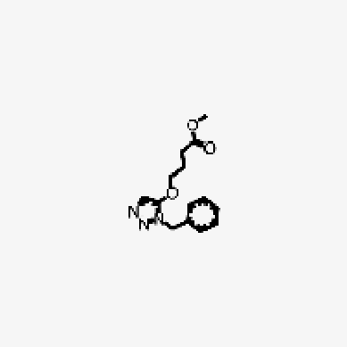 COC(=O)CCCOc1cnnn1Cc1ccccc1